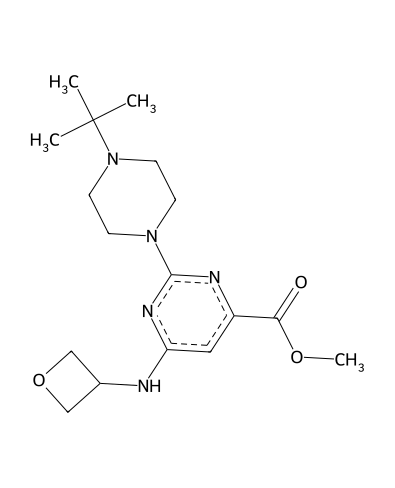 COC(=O)c1cc(NC2COC2)nc(N2CCN(C(C)(C)C)CC2)n1